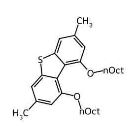 CCCCCCCCOc1cc(C)cc2sc3cc(C)cc(OCCCCCCCC)c3c12